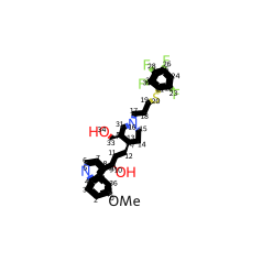 COc1ccc2nccc([C@@H](O)CC[C@@H]3CCN(CCCSc4c(F)cc(F)c(F)c4F)C[C@@H]3CO)c2c1